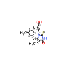 CCc1c([Se]c2cc(C)cc(C)c2)n(CCCCO)c(=S)[nH]c1=O